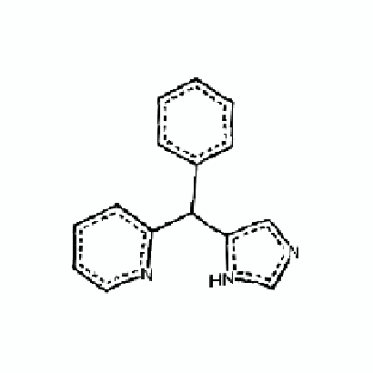 c1ccc(C(c2ccccn2)c2cnc[nH]2)cc1